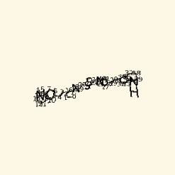 C=CC(/C=C/c1ccc2c(c1)CCCN2C)=C\C=N\CCSSCC[n+]1ccc(/C=C/c2ccc3c(c2)CCCN3)cc1